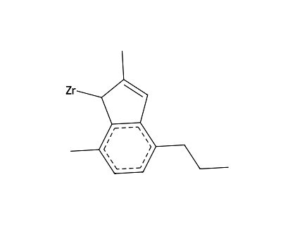 CCCc1ccc(C)c2c1C=C(C)[CH]2[Zr]